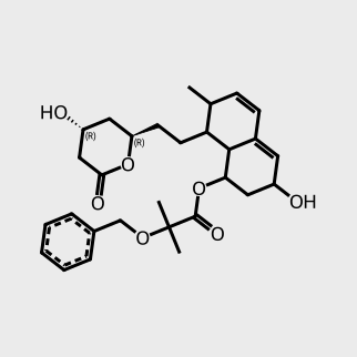 CC1C=CC2=CC(O)CC(OC(=O)C(C)(C)OCc3ccccc3)C2C1CC[C@@H]1C[C@@H](O)CC(=O)O1